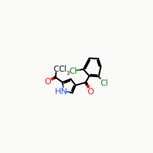 O=C(c1c[nH]c(C(=O)C(Cl)(Cl)Cl)c1)c1c(Cl)cccc1Cl